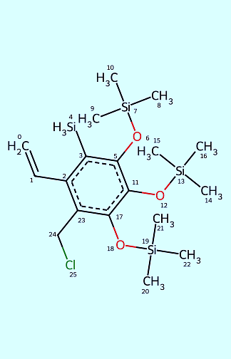 C=Cc1c([SiH3])c(O[Si](C)(C)C)c(O[Si](C)(C)C)c(O[Si](C)(C)C)c1CCl